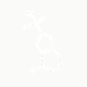 NS(=O)(=O)c1cc2c(Cl)nccc2s1